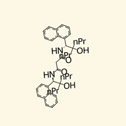 CCCC(O)(CCC)[C@H](NC(=O)CC(=O)N[C@H](c1cccc2ccccc12)C(O)(CCC)CCC)c1cccc2ccccc12